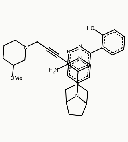 COC1CCCN(CC#Cc2cc(N3C4CCC3CN(c3cc(-c5ccccc5O)nnc3N)C4)ccn2)C1